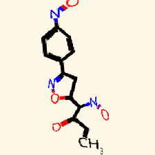 CCC(=O)C(N=O)C1CC(c2ccc(N=O)cc2)=NO1